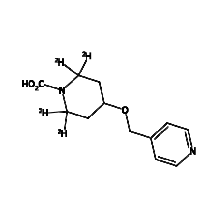 [2H]C1([2H])CC(OCc2ccncc2)CC([2H])([2H])N1C(=O)O